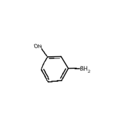 Bc1cccc(N=O)c1